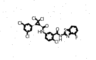 O=C(Nc1nc2c(F)cccc2s1)c1cc(NC(=O)[C@H]2[C@H](c3cc(Cl)cc(Cl)c3)C2(Cl)Cl)ccc1Cl